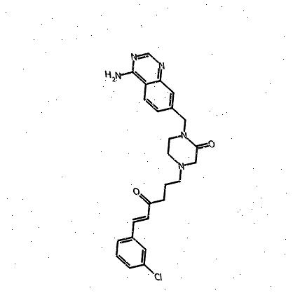 Nc1ncnc2cc(CN3CCN(CCCC(=O)C=Cc4cccc(Cl)c4)CC3=O)ccc12